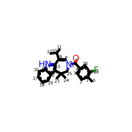 Cc1ccc(C(=O)N2C=C(C(C)C)c3[nH]c4ccccc4c3C(C)(C)C2)cc1F